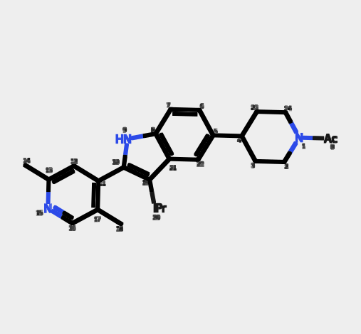 CC(=O)N1CCC(c2ccc3[nH]c(-c4cc(C)ncc4C)c(C(C)C)c3c2)CC1